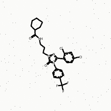 O=C(NCCCn1nc(-c2ccc(Cl)cc2Cl)n(-c2ccc(C(F)(F)F)cc2)c1=O)C1CCCCC1